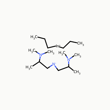 CC(C[N-]CC(C)N(C)C)N(C)C.CC[CH2][In+][CH2]CC